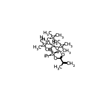 C=C(C)C(=O)O[Si](O[Si](O[Si](C)(C)C)(O[Si](C)(C)C)O[Si](C)(C)C)(C(C)C)C(C)C